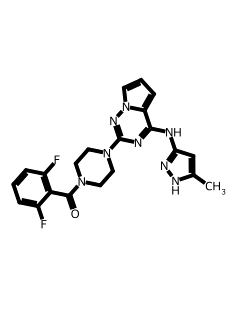 Cc1cc(Nc2nc(N3CCN(C(=O)c4c(F)cccc4F)CC3)nn3cccc23)n[nH]1